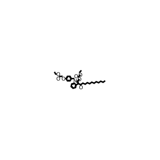 CCCCCCCCCCCC(=O)c1c(OC(=O)OCC)n(Cc2ccc(OCC(=O)OCC)cc2)c2ccccc12